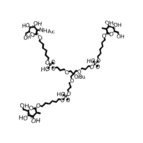 CC(=O)NC1[C@H](OCCCCCCOP(=O)(O)OCCCOCC(COCCCOP(=O)(O)OCCCCCCO[C@@H]2OC(CO)[C@H](O)[C@H](O)C2C)(COCCCOP(=O)(O)OCCCCCCO[C@@H]2OC(CO)[C@H](O)[C@H](O)C2C)OCC(C)C)OC(CO)[C@H](O)[C@@H]1O